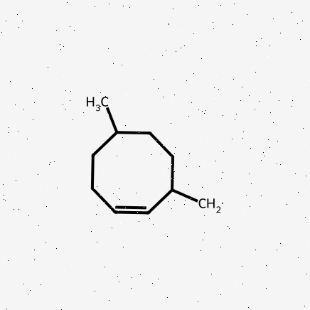 [CH2]C1C=CCCC(C)CC1